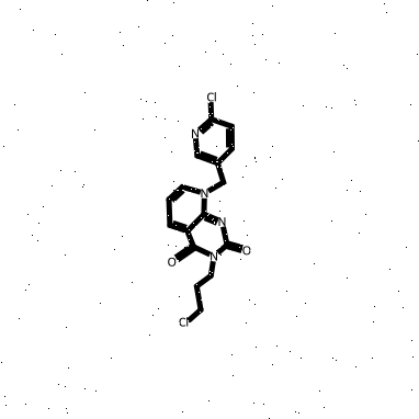 O=c1nc2n(Cc3ccc(Cl)nc3)cccc-2c(=O)n1CCCCl